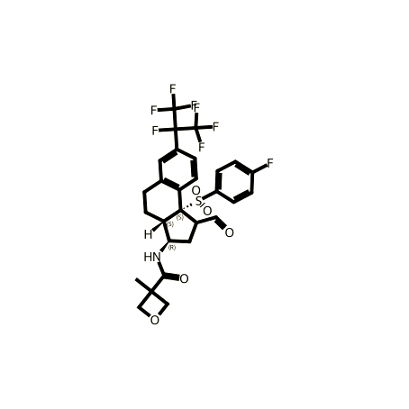 CC1(C(=O)N[C@@H]2CC(C=O)[C@]3(S(=O)(=O)c4ccc(F)cc4)c4ccc(C(F)(C(F)(F)F)C(F)(F)F)cc4CC[C@@H]23)COC1